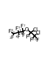 F[C](F)C(F)(F)C(F)(F)OC(F)(Cl)C(F)(F)Cl